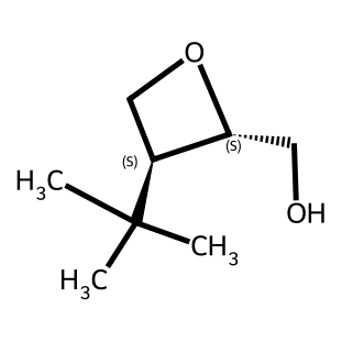 CC(C)(C)[C@H]1CO[C@@H]1CO